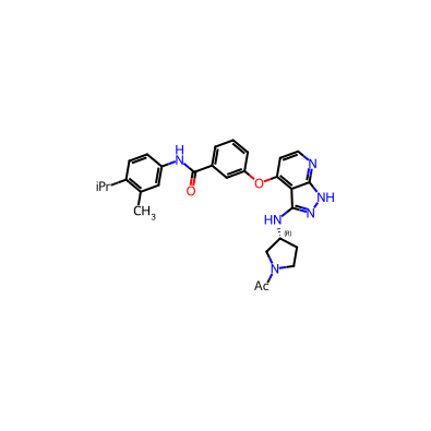 CC(=O)N1CC[C@@H](Nc2n[nH]c3nccc(Oc4cccc(C(=O)Nc5ccc(C(C)C)c(C)c5)c4)c23)C1